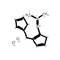 C[Si](C)=[Zr+2][C]1=C(CC2=CC=CC2)C=CC1.[Cl-].[Cl-]